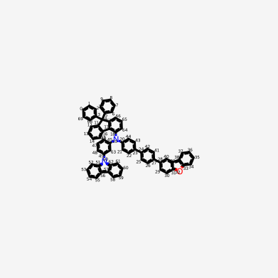 c1ccc(C2(c3ccccc3)c3ccccc3-c3c(N(c4ccc(-c5ccc(-c6ccc7oc8ccccc8c7c6)cc5)cc4)c4cccc(-n5c6ccccc6c6ccccc65)c4)cccc32)cc1